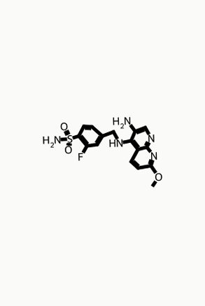 COc1ccc2c(NCc3ccc(S(N)(=O)=O)c(F)c3)c(N)cnc2n1